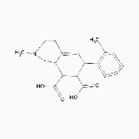 Cc1ccccc1C1C=C2CCN(C)CC2C(C(=O)O)C1C(=O)O